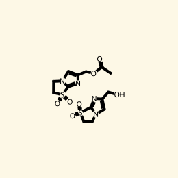 CC(=O)OCc1cn2c(n1)S(=O)(=O)CC2.O=S1(=O)CCn2cc(CO)nc21